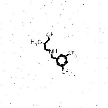 C[C@H](CO)CNCc1cc(C(F)(F)F)cc(C(F)(F)F)c1